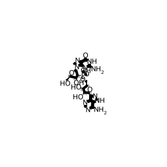 Nc1nc2c(ncn2C2O[C@H](CO)[C@@H](O)[C@H]2P(=O)(O)OC[C@H]2O[C@@H](c3n[nH]c4c(N)ncnc34)[C@H](O)[C@@H]2O)c(=O)[nH]1